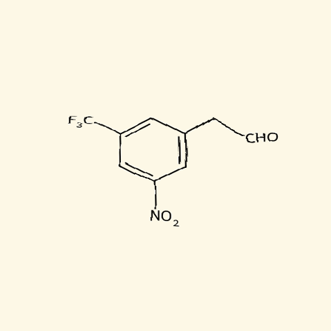 O=CCc1cc([N+](=O)[O-])cc(C(F)(F)F)c1